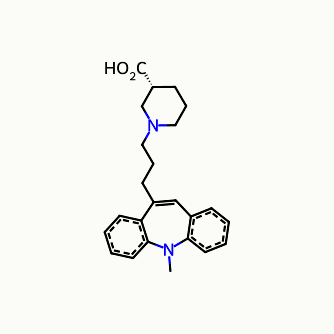 CN1c2ccccc2C=C(CCCN2CCC[C@@H](C(=O)O)C2)c2ccccc21